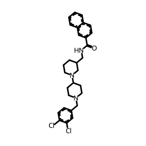 O=C(NCC1CCCN(C2CCN(Cc3ccc(Cl)c(Cl)c3)CC2)C1)c1ccc2ccccc2c1